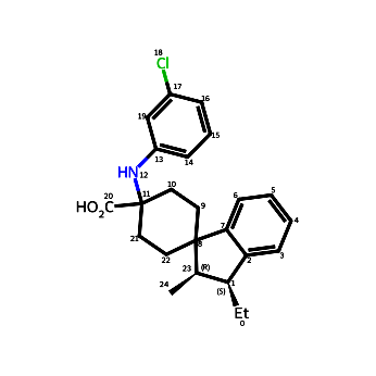 CC[C@@H]1c2ccccc2C2(CCC(Nc3cccc(Cl)c3)(C(=O)O)CC2)[C@@H]1C